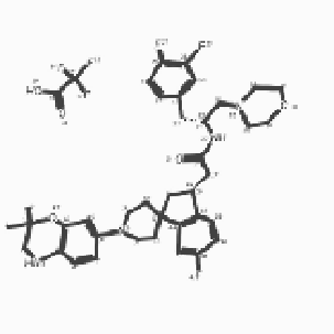 CC1(C)CNc2ccc(N3CCC4(CC3)C[C@@H](CC(=O)N[C@H](Cc3ccc(F)c(F)c3)CN3CCOCC3)c3ccc(F)cc34)cc2O1.O=C(O)C(F)(F)F